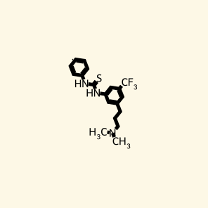 CN(C)CCCc1cc(NC(=S)Nc2cc[c]cc2)cc(C(F)(F)F)c1